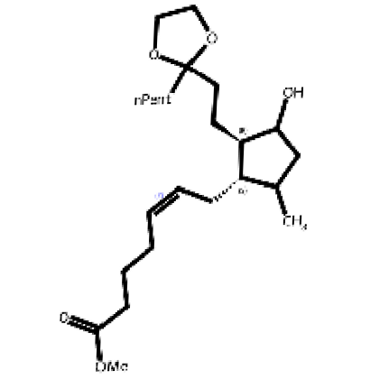 CCCCCC1(CC[C@H]2C(O)CC(C)[C@@H]2C/C=C\CCCC(=O)OC)OCCO1